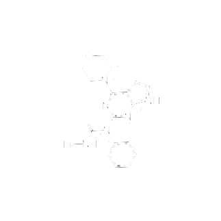 CC(C)NC(=O)N(c1ccccc1)c1nc(N2CCOCC2)c2cc[nH]c2n1